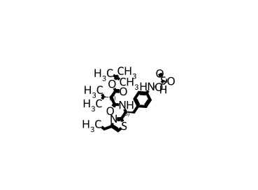 CCc1csc([C@H](Cc2ccc(NO[SH](=O)=O)cc2)NC(=O)[C@@H](C(=O)OC(C)(C)C)C(C)C)n1